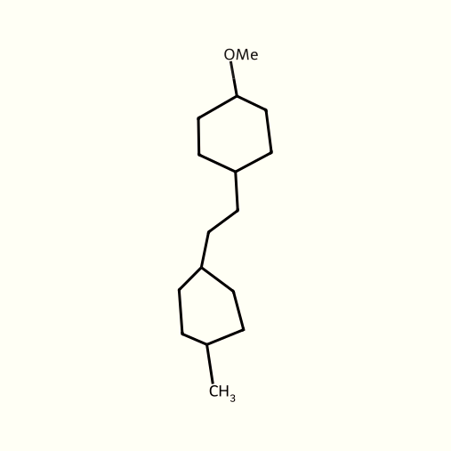 COC1CCC(CCC2CCC(C)CC2)CC1